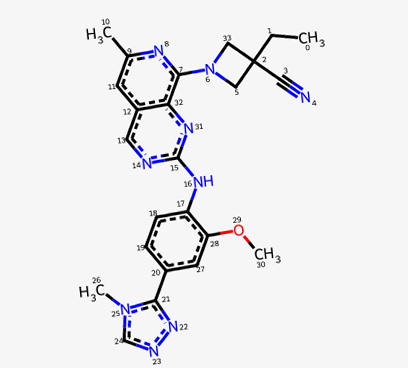 CCC1(C#N)CN(c2nc(C)cc3cnc(Nc4ccc(-c5nncn5C)cc4OC)nc23)C1